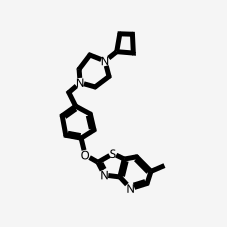 Cc1cnc2nc(Oc3ccc(CN4CCN(C5CCC5)CC4)cc3)sc2c1